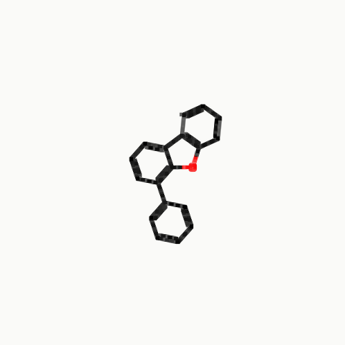 [c]1cccc2oc3c(-c4ccccc4)cccc3c12